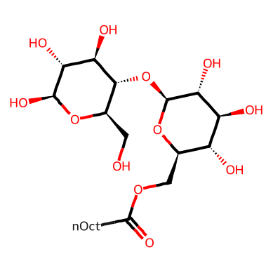 CCCCCCCCC(=O)OC[C@H]1O[C@@H](O[C@H]2[C@H](O)[C@@H](O)[C@H](O)O[C@@H]2CO)[C@H](O)[C@@H](O)[C@@H]1O